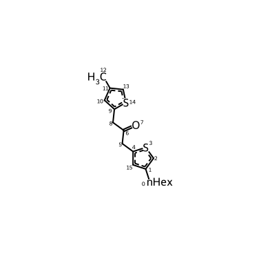 CCCCCCc1csc(CC(=O)Cc2cc(C)cs2)c1